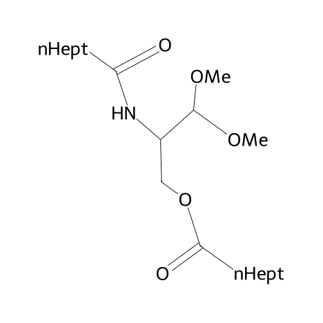 CCCCCCCC(=O)NC(COC(=O)CCCCCCC)C(OC)OC